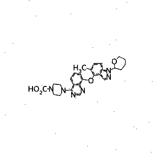 Cc1ccc2c(cnn2C2CCCCO2)c1Oc1cccc2c(N3CCN(C(=O)O)CC3)ncnc12